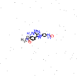 CN(C)[S+]([O-])c1ccc(-c2nn(-c3ccc(NC=O)cc3)c3ncnc(N)c23)cc1